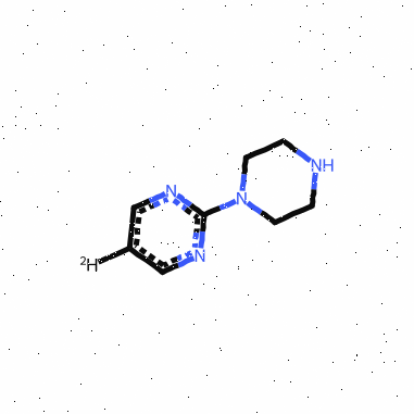 [2H]c1cnc(N2CCNCC2)nc1